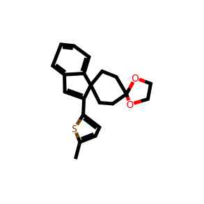 Cc1ccc(C2=Cc3ccccc3C23CCC2(CC3)OCCO2)s1